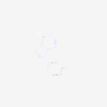 O=c1[nH]cnc2c1ccn2-c1cccc(F)c1